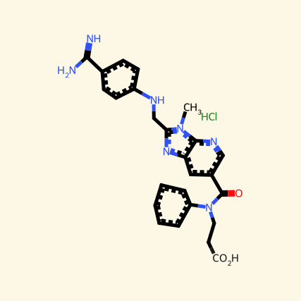 Cl.Cn1c(CNc2ccc(C(=N)N)cc2)nc2cc(C(=O)N(CCC(=O)O)c3ccccc3)cnc21